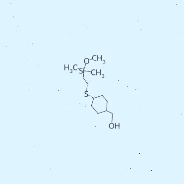 CO[Si](C)(C)CCSC1CCC(CO)CC1